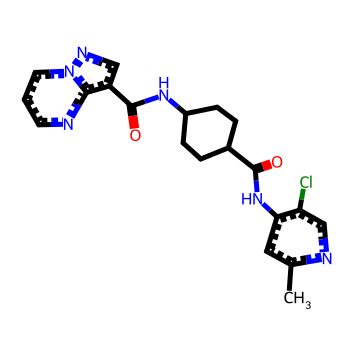 Cc1cc(NC(=O)C2CCC(NC(=O)c3cnn4cccnc34)CC2)c(Cl)cn1